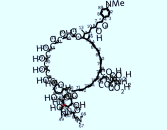 CNc1ccc(C(=O)CC(O)CC[C@H](C)C2OC(=O)C[C@H](O)CC(=O)C[C@H](O)C[C@H](O)C[C@H](O)C[C@H](O)C[C@]3(O)C[C@H](O)[C@@H](C(=O)NCCN(C)C)[C@H](C[C@@H](O[C@@H]4O[C@H](C)[C@@H](O)[C@H](NC(=O)CN(C)C)[C@@H]4O)/C=C/C=C/C=C/C=C/C=C/C=C/C=C/C2C)O3)cc1.N[C@@H](CC(=O)O)C(=O)O.N[C@@H](CC(=O)O)C(=O)O